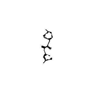 Cc1csc(C(=O)C(I)c2ccc(F)cc2)c1